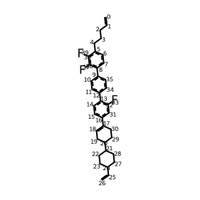 C=CCCCc1ccc(-c2ccc(-c3ccc(C4=CCC(C5CCC(C=C)CC5)CC4)cc3F)cc2)c(F)c1F